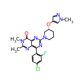 Cc1nc2c(-c3ccc(Cl)cc3F)nc(N3CCC[C@@H](Oc4cnn(C)c4)C3)nc2c(=O)n1C